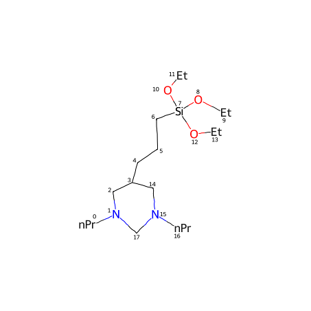 CCCN1CC(CCC[Si](OCC)(OCC)OCC)CN(CCC)C1